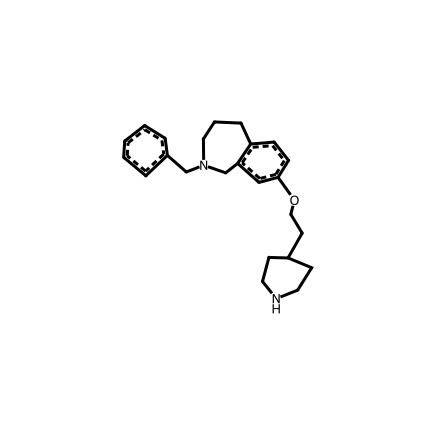 c1ccc(CN2CCCc3ccc(OCCC4CCNCC4)cc3C2)cc1